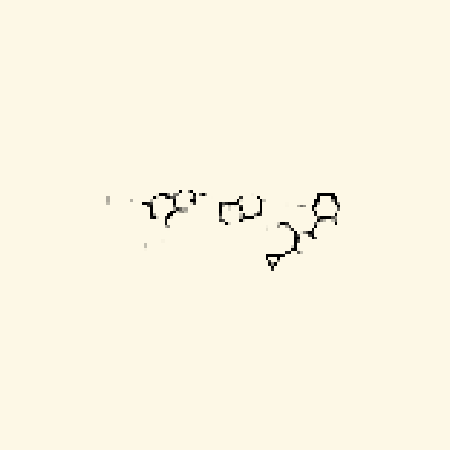 CC(C)Oc1cc(C(=O)O)cc2sc(O[C@@H]3CO[C@H]4[C@@H]3OC[C@H]4OCc3c(-c4c(Cl)cccc4Cl)noc3C3CC3)nc12